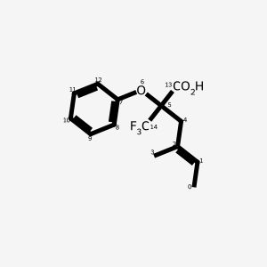 C/C=C(\C)CC(Oc1ccccc1)(C(=O)O)C(F)(F)F